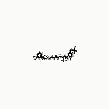 COc1cccc(C(F)(F)COCCCCCCNC[C@H](O)c2ccc3c(c2)COC(C)(C)O3)c1